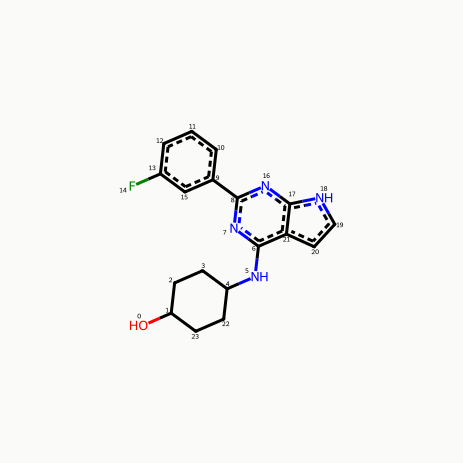 OC1CCC(Nc2nc(-c3cccc(F)c3)nc3[nH]ccc23)CC1